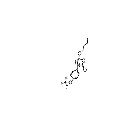 CCCCOc1nn(-c2ccc(OC(F)(F)F)cc2)c(=O)o1